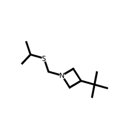 CC(C)SCN1CC(C(C)(C)C)C1